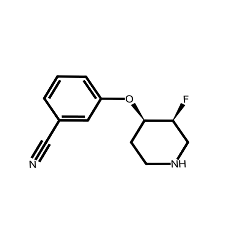 N#Cc1cccc(O[C@@H]2CCNC[C@@H]2F)c1